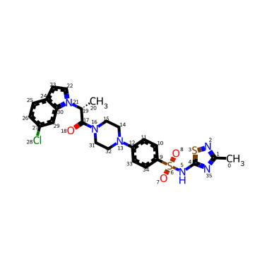 Cc1nsc(NS(=O)(=O)c2ccc(N3CCN(C(=O)[C@@H](C)n4ccc5ccc(Cl)cc54)CC3)cc2)n1